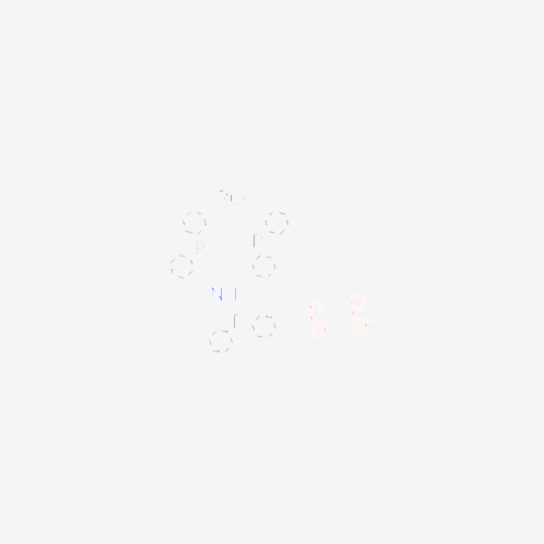 CC(C)(C)C(=O)[O-].CC(C)(C)C(=O)[O-].NCCP(c1ccccc1)c1ccccc1.[Ru+2].c1ccc(P(CCCCP(c2ccccc2)c2ccccc2)c2ccccc2)cc1